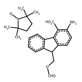 CC1(C)CCC(C)(C)N1[O].Nc1ccc2c(c1C(=O)O)-c1ccccc1C2COC=O